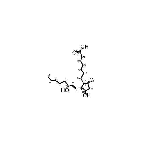 CCCCC[C@H](O)C=C[C@H]1C(O)CC(=O)[C@@H]1CCCCCCC(=O)O